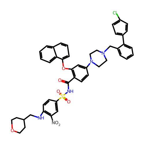 O=C(NS(=O)(=O)c1ccc(NCC2CCOCC2)c([N+](=O)[O-])c1)c1ccc(N2CCN(Cc3ccccc3-c3ccc(Cl)cc3)CC2)cc1Oc1cccc2ccccc12